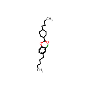 CCCCCc1ccc(OC(=O)C2CCC(CCCC)CC2)c(F)c1